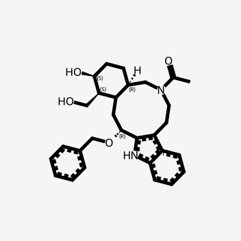 CC(=O)N1CCc2c([nH]c3ccccc23)[C@H](OCc2ccccc2)CC2[C@@H](CC[C@H](O)[C@@H]2CO)C1